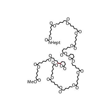 CCCCCCCC(=O)OCCCCCC(=O)OCCCCCC(=O)OCCCCCC(=O)OCCCCCC(=O)OCCCCCC(=O)OCCCCCC(=O)OCCCCCC(=O)OCCCCCC(=O)OCCCCCC(=O)OCCCCCC(=O)OCCCCCC(=O)OCCCCCC(=O)OCCCCCC(=O)OCCCCCC(=O)OCCCCCC(=O)OC